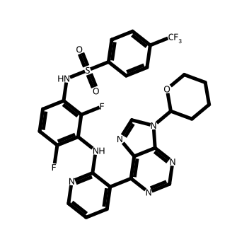 O=S(=O)(Nc1ccc(F)c(Nc2ncccc2-c2ncnc3c2ncn3C2CCCCO2)c1F)c1ccc(C(F)(F)F)cc1